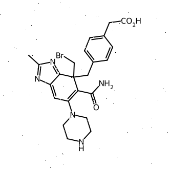 CC1=NC2=CC(N3CCNCC3)=C(C(N)=O)C(CBr)(Cc3ccc(CC(=O)O)cc3)C2=N1